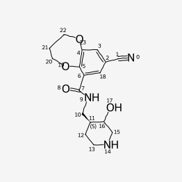 N#Cc1cc2c(c(C(=O)NC[C@@H]3CCNCC3O)c1)OCCCO2